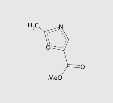 COC(=O)c1cnc(C)o1